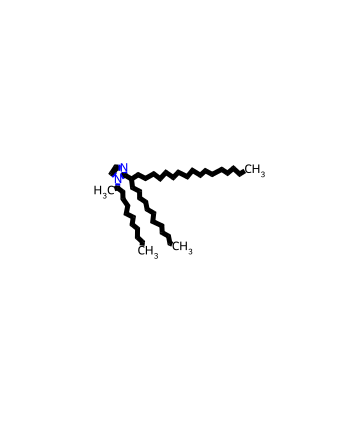 CCCCCCCCCCCCCCCCCC(CCCCCCCCCCCC)c1nccn1C(C)CCCCCCCCCC